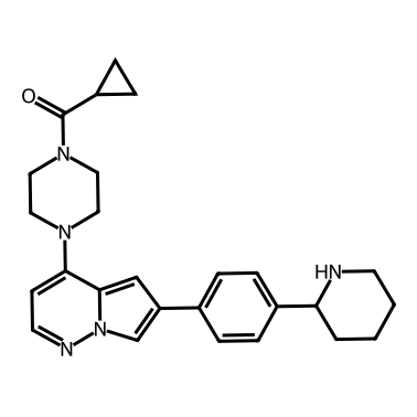 O=C(C1CC1)N1CCN(c2ccnn3cc(-c4ccc(C5CCCCN5)cc4)cc23)CC1